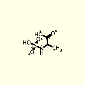 CC(NS(=O)(=O)O)C(=O)O